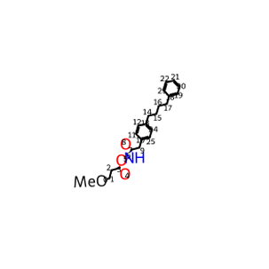 COCCC(=O)ONC(=O)Cc1ccc(CCCCc2ccccc2)cc1